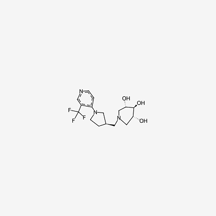 O[C@H]1[C@H](O)CN(C[C@H]2CCN(c3ccncc3C(F)(F)F)C2)C[C@@H]1O